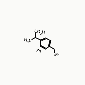 CC(C)Cc1ccc(C(C)C(=O)O)cc1.[Zn]